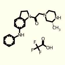 C[C@@H]1CN(CC(=O)N2CCc3ccc(Nc4ccccc4)cc32)CCN1.O=C(O)C(F)(F)F